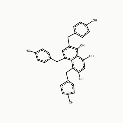 Oc1ccc(Cc2cc(Cc3ccc(O)cc3)c3c(Cc4ccc(O)cc4)c(O)cc(O)c3c2O)cc1